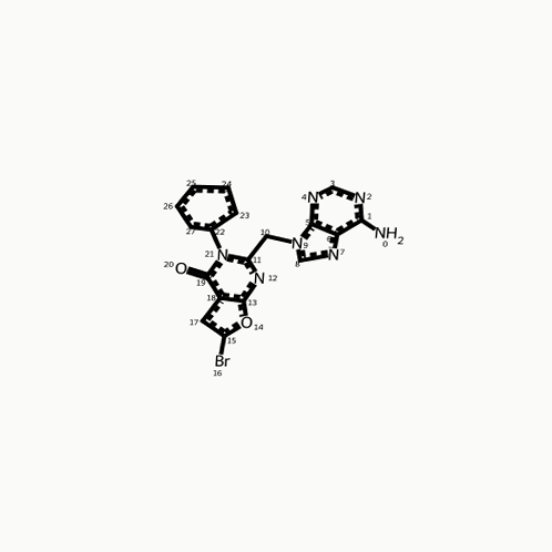 Nc1ncnc2c1ncn2Cc1nc2oc(Br)cc2c(=O)n1-c1ccccc1